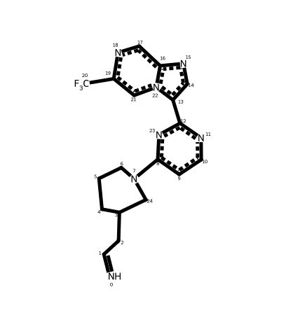 N=C[CH]C1CCCN(c2ccnc(-c3cnc4cnc(C(F)(F)F)cn34)n2)C1